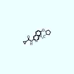 C[C@H]1CCC[C@H]1Oc1ccc2cc(NC(=O)C3CC3)ncc2c1